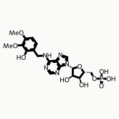 COc1ccc(CNc2ncnc3c2ncn3[C@@H]2O[C@H](COP(=O)(O)O)[C@@H](O)[C@H]2O)c(O)c1OC